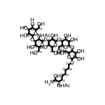 CC(=O)NC1C(OC2C(O)C(CO)OC(OC3C(CO)OC(OC4C(CO)OC(OCCCCCC[C@H](NC(C)=O)C(N)O)C(O)C4O)C(O)C3O)C2O)OC(CO)C(O)C1OC1OC(CO)C(O)C(O)C1O